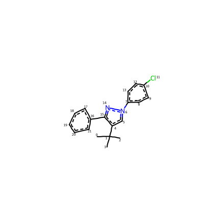 CC(C)(C)c1cn(-c2ccc(Cl)cc2)nc1-c1ccccc1